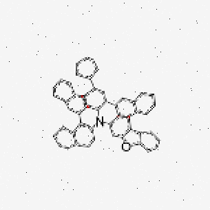 c1ccc(-c2ccc(N(c3ccc4c(c3)oc3ccccc34)c3ccc4ccccc4c3-c3ccc4ccccc4c3)c(-c3ccc4ccccc4c3)c2)cc1